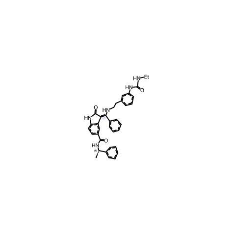 CCNC(=O)Nc1cccc(CCN/C(=C2\C(=O)Nc3ccc(C(=O)N[C@H](C)c4ccccc4)cc32)c2ccccc2)c1